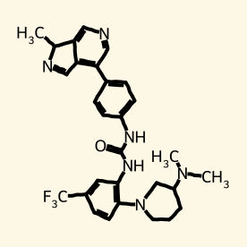 CC1N=Cc2c(-c3ccc(NC(=O)Nc4cc(C(F)(F)F)ccc4N4CCCC(N(C)C)C4)cc3)cncc21